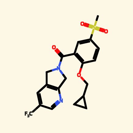 CS(=O)(=O)c1ccc(OCC2CC2)c(C(=O)N2Cc3cc(C(F)(F)F)cnc3C2)c1